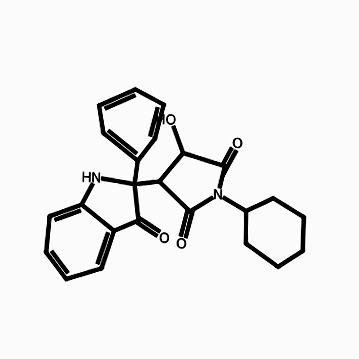 O=C1C(O)C(C2(c3ccccc3)Nc3ccccc3C2=O)C(=O)N1C1CCCCC1